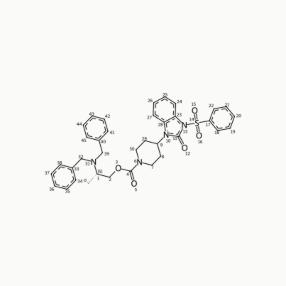 C[C@@H](COC(=O)N1CCC(n2c(=O)n(S(=O)(=O)c3ccccc3)c3ccccc32)CC1)N(Cc1ccccc1)Cc1ccccc1